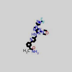 C=C(C(N)=O)c1cccc(-c2ccc(CNc3nc(N4CCOCC4)nc4c3ncn4-c3cnn(C(F)F)c3)cn2)c1